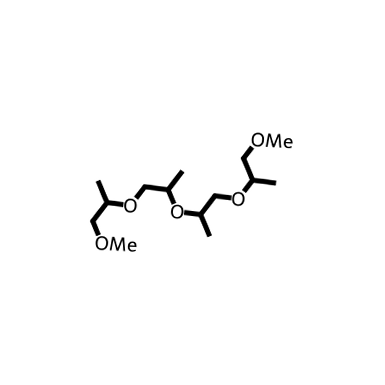 COCC(C)OCC(C)OC(C)COC(C)COC